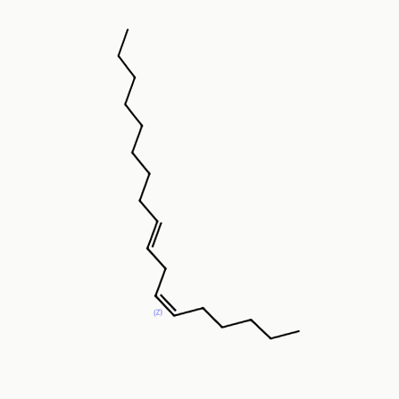 CCCCC/C=C\CC=CCCCCCCCC